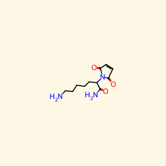 NCCCCCC(C(N)=O)N1C(=O)C=CC1=O